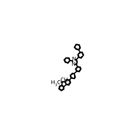 CC1(C)c2ccccc2-c2ccc(-c3ccc(-c4cccc(-c5cc(-c6cccc(-c7ccccc7)c6)nc(-c6ccccc6)n5)c4)cc3)cc21